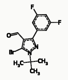 CC(C)(C)n1nc(-c2cc(F)cc(F)c2)c(C=O)c1Br